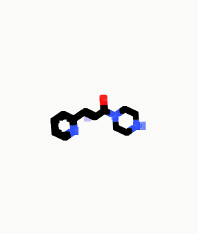 O=C(/C=C/c1ccccn1)N1CCNCC1